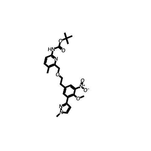 COc1c(-c2ccn(C)n2)cc(CCOCc2nc(NC(=O)OC(C)(C)C)ccc2C)cc1[N+](=O)[O-]